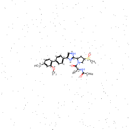 COC(=O)N[C@H](C(=O)N1CC([S+](C)[O-])CC1c1nc(-c2ccc(-c3ccc(C(=O)O)cc3OC(F)(F)F)cc2)c[nH]1)C(C)C